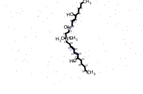 CCCCCC(O)/C=C/C=[N+](\[O-])CC[N+](C)(C)CC/C=C/C=C/C(O)CCCCC